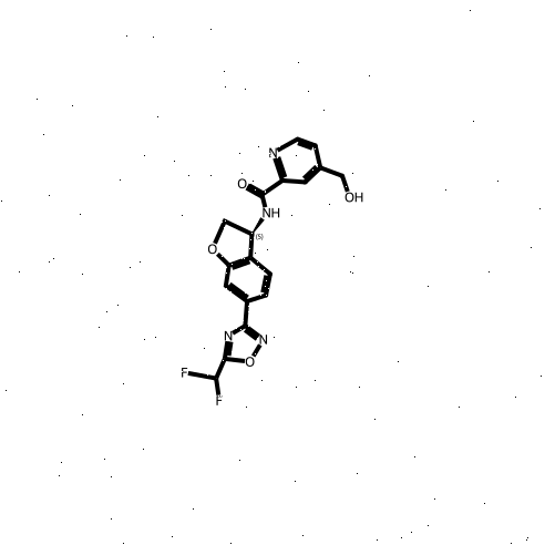 O=C(N[C@@H]1COc2cc(-c3noc(C(F)F)n3)ccc21)c1cc(CO)ccn1